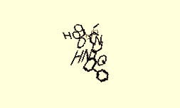 CC[C@@H]1CN2CCc3c([nH]c4ccc(-c5ccccc5)c(OC)c34)C2C[C@@H]1C(=COC)C(=O)O